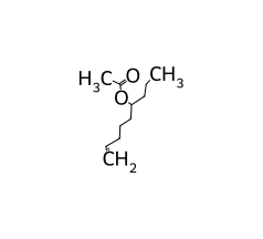 C=CCCCC(CCC)OC(C)=O